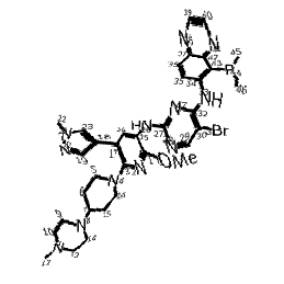 COc1nc(N2CCC(N3CCN(C)CC3)CC2)c(-c2cnn(C)c2)cc1Nc1ncc(Br)c(Nc2ccc3nccnc3c2P(C)C)n1